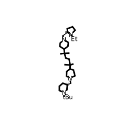 CCN1CCC[C@@H]1CN1CCC(C(C)(C)CCC(C)(C)C2CCN(C[C@@H]3CCCN(C(C)(C)C)C3)CC2)CC1